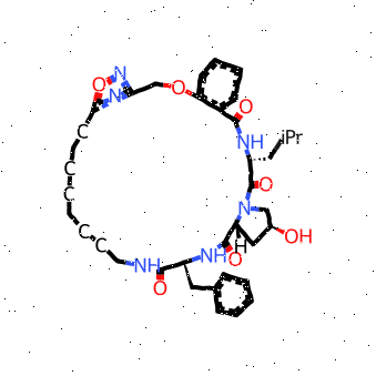 CC(C)C[C@H]1NC(=O)c2ccccc2OCc2noc(n2)CCCCCCCCNC(=O)[C@H](Cc2ccccc2)NC(=O)[C@H]2C[C@H](O)CN2C1=O